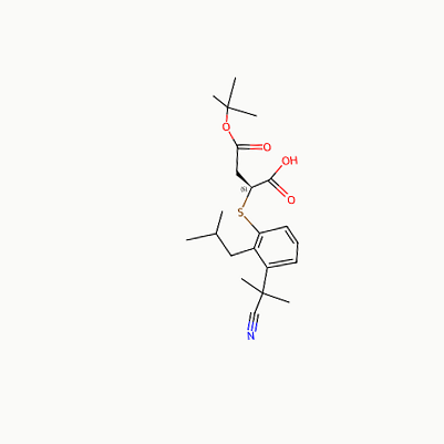 CC(C)Cc1c(S[C@@H](CC(=O)OC(C)(C)C)C(=O)O)cccc1C(C)(C)C#N